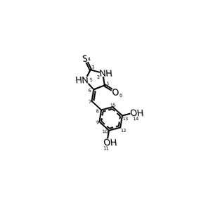 O=C1NC(=S)NC1=Cc1cc(O)cc(O)c1